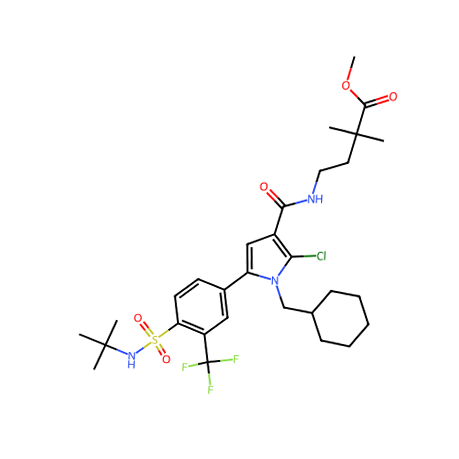 COC(=O)C(C)(C)CCNC(=O)c1cc(-c2ccc(S(=O)(=O)NC(C)(C)C)c(C(F)(F)F)c2)n(CC2CCCCC2)c1Cl